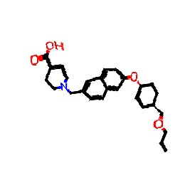 CCCOC[C@H]1CC[C@@H](Oc2ccc3cc(CN4CCC(C(=O)O)CC4)ccc3c2)CC1